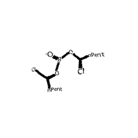 CCCCCC(Cl)OB([O])OC(Cl)CCCCC